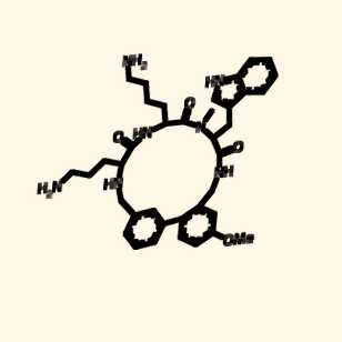 COc1ccc2c(c1)CNC(=O)C(Cc1c[nH]c3ccccc13)N(C)C(=O)C(CCCCN)NC(=O)C(CCCN)NCc1cccc-2c1